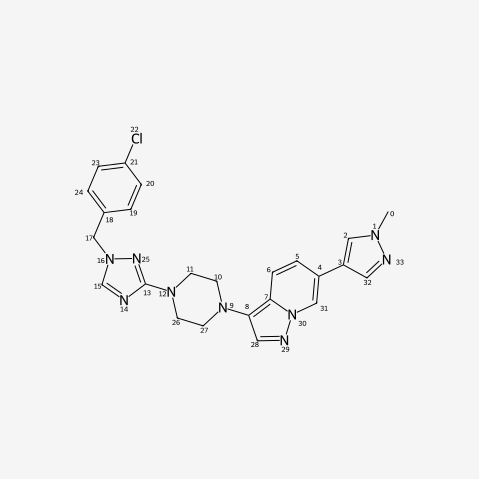 Cn1cc(-c2ccc3c(N4CCN(c5ncn(Cc6ccc(Cl)cc6)n5)CC4)cnn3c2)cn1